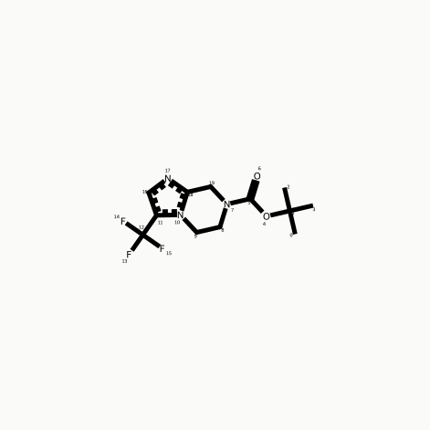 CC(C)(C)OC(=O)N1CCn2c(C(F)(F)F)cnc2C1